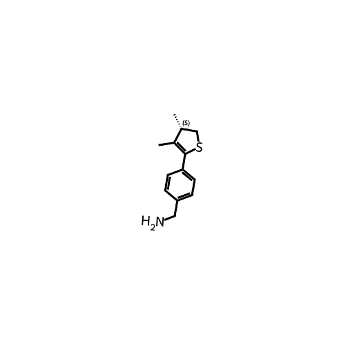 CC1=C(c2ccc(CN)cc2)SC[C@H]1C